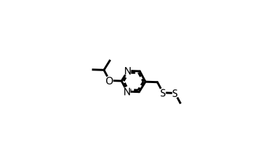 CSSCc1cnc(OC(C)C)nc1